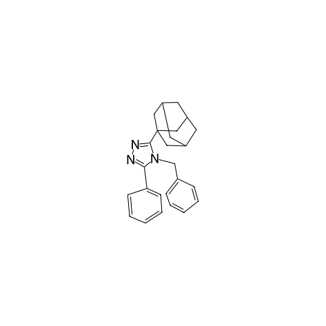 c1ccc(Cn2c(-c3ccccc3)nnc2C23CC4CC(CC(C4)C2)C3)cc1